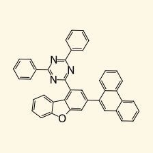 c1ccc(-c2nc(-c3ccccc3)nc(-c3cc(-c4cc5ccccc5c5ccccc45)cc4oc5ccccc5c34)n2)cc1